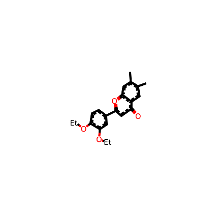 CCOc1ccc(-c2cc(=O)c3cc(C)c(C)cc3o2)cc1OCC